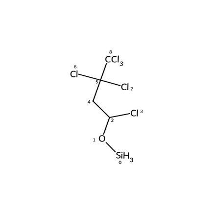 [SiH3]OC(Cl)CC(Cl)(Cl)C(Cl)(Cl)Cl